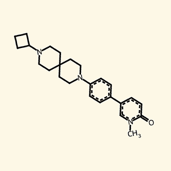 Cn1cc(-c2ccc(N3CCC4(CC3)CCN(C3CCC3)CC4)cc2)ccc1=O